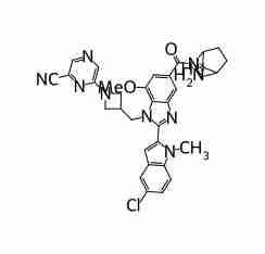 COc1cc(C(=O)N2CC3CCC2[C@@H]3N)cc2nc(-c3cc4cc(Cl)ccc4n3C)n(CC3CN(c4cncc(C#N)n4)C3)c12